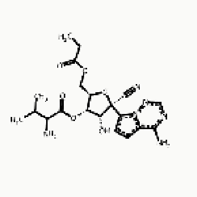 CCC(=O)OC[C@H]1O[C@@](C#N)(c2ccc3c(N)ncnn23)[C@H](O)[C@@H]1OC(=O)C(N)C(C)C